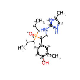 CCCP(=O)(CCC)C(CNc1nc(C)c[nH]1)c1ccc(O)c(C)c1